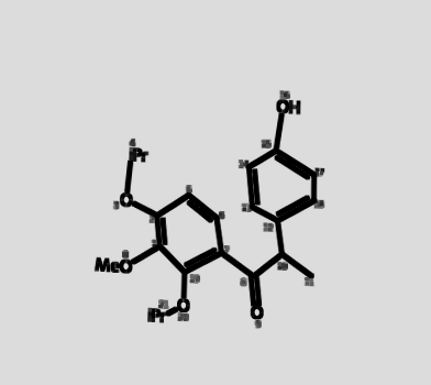 COc1c(OC(C)C)ccc(C(=O)C(C)c2ccc(O)cc2)c1OC(C)C